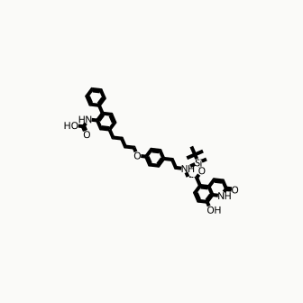 CC(C)(C)[Si](C)(C)O[C@@H](CNCCc1ccc(OCCCCc2ccc(-c3ccccc3)c(NC(=O)O)c2)cc1)c1ccc(O)c2[nH]c(=O)ccc12